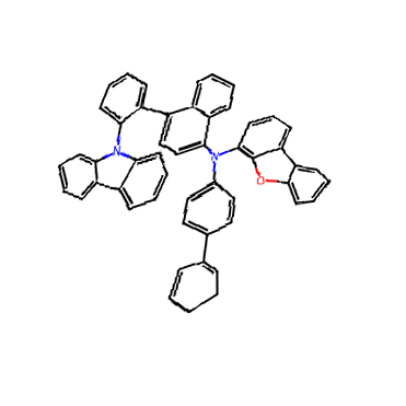 C1=CC(c2ccc(N(c3ccc(-c4ccccc4-n4c5ccccc5c5ccccc54)c4ccccc34)c3cccc4c3oc3ccccc34)cc2)=CCC1